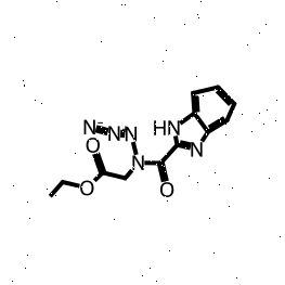 CCOC(=O)CN(N=[N+]=[N-])C(=O)c1nc2ccccc2[nH]1